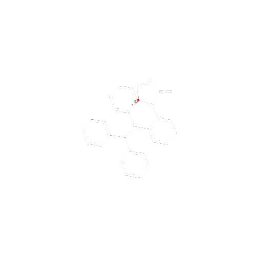 O=C1C=CC(=O)N1c1ccccc1C(=C(c1ccccc1)c1ccccc1)c1ccccc1